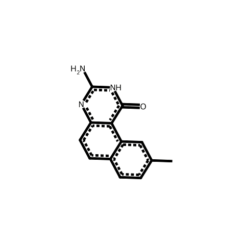 Cc1ccc2ccc3nc(N)[nH]c(=O)c3c2c1